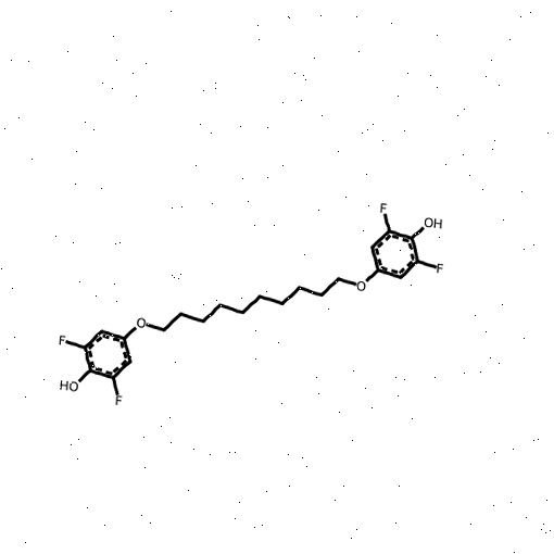 Oc1c(F)cc(OCCCCCCCCCCOc2cc(F)c(O)c(F)c2)cc1F